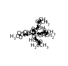 C=C(C)C(=O)OCC(O)COC[C@H]1OC(=O)[C@H](OCC(O)COC(=O)C(=C)C)[C@@H](OCC(O)COC(=O)C(=C)C)[C@@H]1OCC(O)COC(=O)C(=C)C